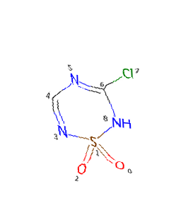 O=S1(=O)N=CN=C(Cl)N1